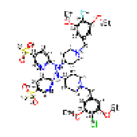 CCOc1cc(CN2CCC(N(c3ccc(S(C)(=O)=O)cn3)N(c3ccc(S(C)(=O)=O)cn3)C3CCN(Cc4cc(OCC)c(Cl)c(OCC)c4)CC3)CC2)cc(OCC)c1F